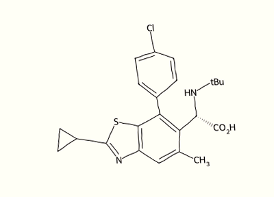 Cc1cc2nc(C3CC3)sc2c(-c2ccc(Cl)cc2)c1[C@H](NC(C)(C)C)C(=O)O